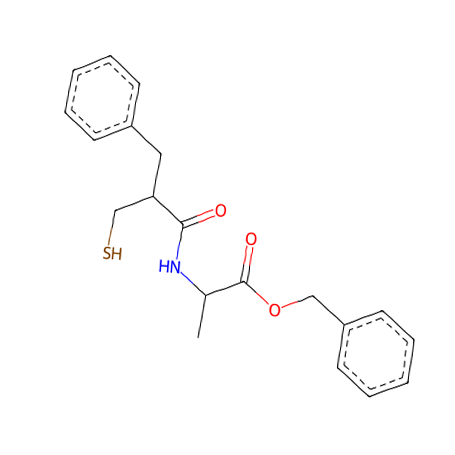 CC(NC(=O)C(CS)Cc1ccccc1)C(=O)OCc1ccccc1